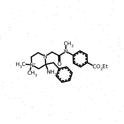 CCOC(=O)c1ccc(N(C)C(=O)CN2CC[N+](C)(C)CC2(N)Cc2ccccc2)cc1